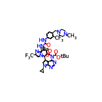 CN1CCN(Cc2ccc(NC(=O)Nc3ccc(-c4cn(C5CC5)c5ncnc(N(C(=O)OC(C)(C)C)C(=O)OC(C)(C)C)c45)n4cc(C(F)(F)F)nc34)cc2C(F)(F)F)CC1